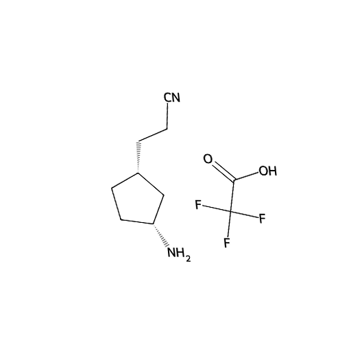 N#CCC[C@H]1CC[C@@H](N)C1.O=C(O)C(F)(F)F